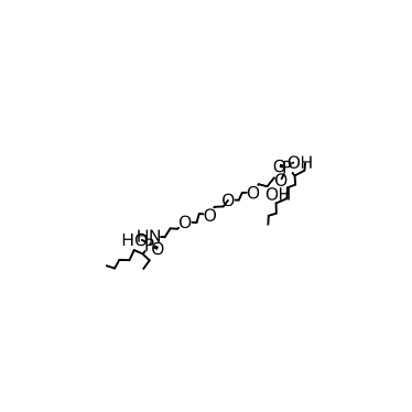 CCCCCCCC(CC)P(=O)(O)OCC(O)COCCOCCOCCOCCCNP(=O)(O)C(CC)CCCCC